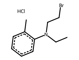 CCN(CCBr)c1ccccc1C.Cl